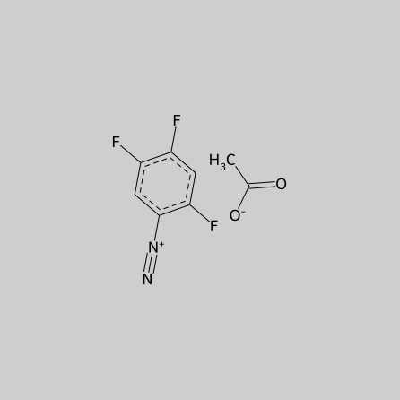 CC(=O)[O-].N#[N+]c1cc(F)c(F)cc1F